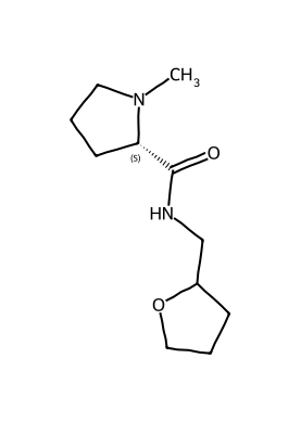 CN1CCC[C@H]1C(=O)NCC1CCCO1